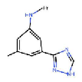 Cc1cc(NC(C)C)cc(-c2nc[nH]n2)c1